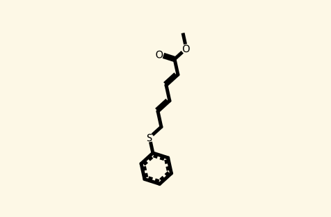 COC(=O)/C=C/C=C/CSc1ccccc1